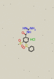 CS(=O)(=O)c1cc(C(=O)NC(=N)N)ccc1[S+]([O-])c1ccccc1.Cl